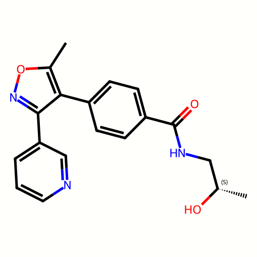 Cc1onc(-c2cccnc2)c1-c1ccc(C(=O)NC[C@H](C)O)cc1